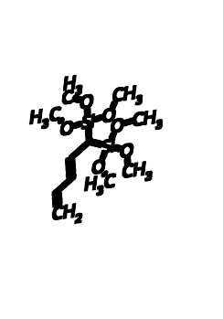 C=CC=CC([Si](OC)(OC)OC)[Si](OC)(OC)OC